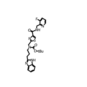 CC(C)(C)OC(=O)N(CCCc1nc2ccccc2[nH]1)Cc1nc(C(=O)NCc2ncccc2F)cs1